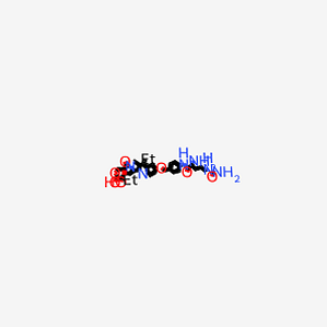 CCc1c2c(nc3ccc(OCc4ccc(NC(=O)C(N)CCCNC(N)=O)cc4)cc13)-c1cc3c(c(=O)n1C2)COC(=O)[C@]3(O)CC